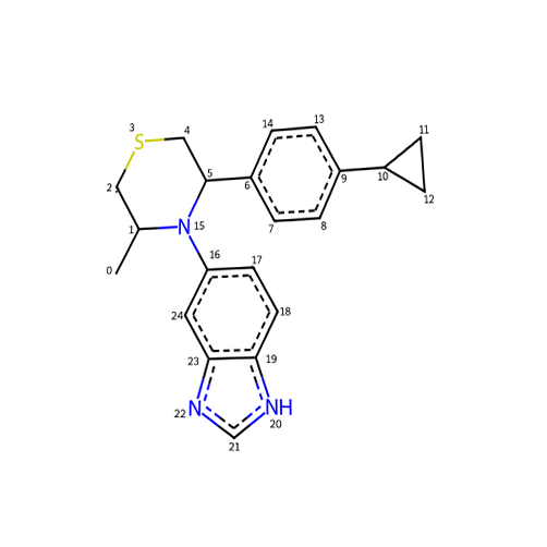 CC1[CH]SCC(c2ccc(C3CC3)cc2)N1c1ccc2[nH]cnc2c1